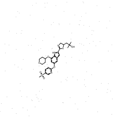 CC(C)(O)CC1CN=C(c2cc3cc(Oc4ccc(S(C)(=O)=O)cn4)cc(OC4CCOCC4)c3[nH]2)S1